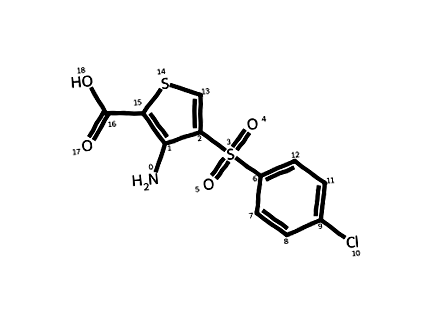 Nc1c(S(=O)(=O)c2ccc(Cl)cc2)csc1C(=O)O